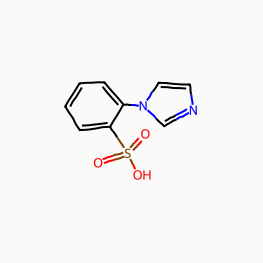 O=S(=O)(O)c1ccccc1-n1ccnc1